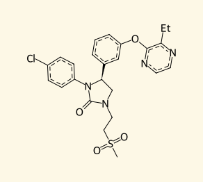 CCc1nccnc1Oc1cccc([C@H]2CN(CCS(C)(=O)=O)C(=O)N2c2ccc(Cl)cc2)c1